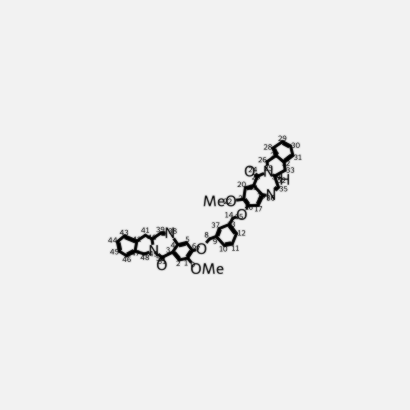 COc1cc2c(cc1OCc1cccc(COc3cc4c(cc3OC)C(=O)N3Cc5ccccc5C[C@H]3C=N4)c1)N=CC1Cc3ccccc3CN1C2=O